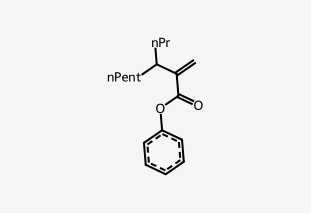 C=C(C(=O)Oc1ccccc1)C(CCC)CCCCC